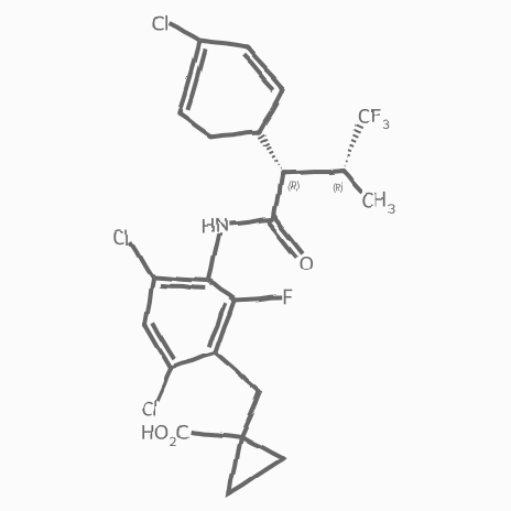 C[C@H]([C@H](C(=O)Nc1c(Cl)cc(Cl)c(CC2(C(=O)O)CC2)c1F)C1C=CC(Cl)=CC1)C(F)(F)F